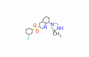 C[C@H]1CN(c2cccc3cc(S(=O)(=O)c4cccc(F)c4)cnc23)CCN1